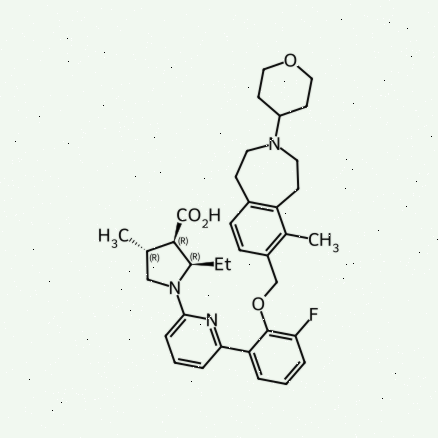 CC[C@@H]1[C@H](C(=O)O)[C@@H](C)CN1c1cccc(-c2cccc(F)c2OCc2ccc3c(c2C)CCN(C2CCOCC2)CC3)n1